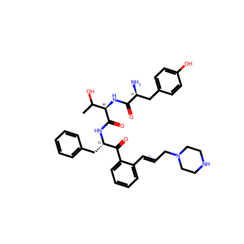 CC(O)[C@@H](NC(=O)[C@@H](N)Cc1ccc(O)cc1)C(=O)N[C@@H](Cc1ccccc1)C(=O)c1ccccc1/C=C/CN1CCNCC1